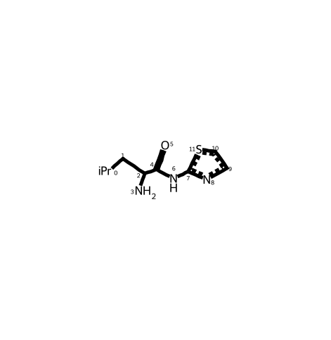 CC(C)CC(N)C(=O)Nc1nccs1